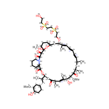 CO[C@@H]1C[C@H](C[C@@H](C)[C@@H]2CC(=O)[C@H](C)/C=C(\C)[C@@H](O)[C@@H](OC)C(=O)[C@H](C)C[C@H](C)/C=C/C=C/C=C(\C)[C@@H](OCCS(=O)(=O)CCS(=O)(=O)CCO)C[C@@H]3CC[C@@H](C)[C@@](O)(O3)C(=O)C(=O)N3CCCC[C@H]3C(=O)O2)CC[C@H]1O